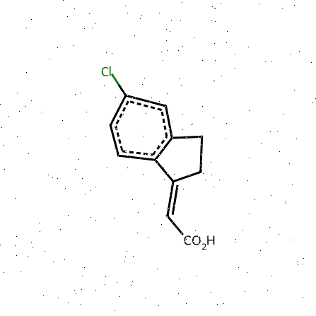 O=C(O)C=C1CCc2cc(Cl)ccc21